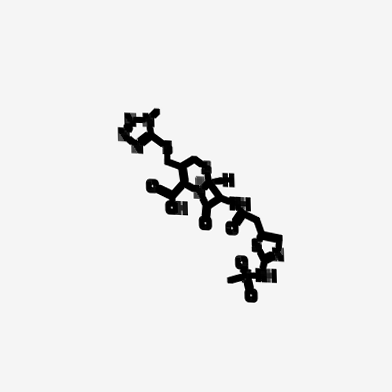 Cn1nnnc1SCC1=C(C(=O)O)N2C(=O)C(NC(=O)Cc3cnc(NS(C)(=O)=O)s3)[C@H]2SC1